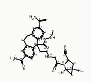 C=C(N)c1ccc2c(c1)CCc1cc(C(N)=O)ccc1C2(CCNCC(=O)N1C(C#N)C[C@@H]2C[C@@H]21)C(=O)NNC